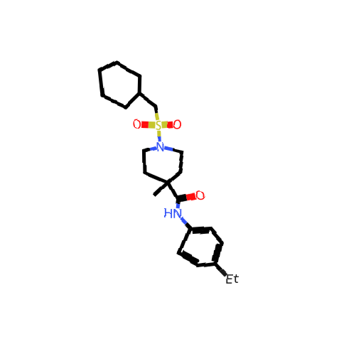 CCc1ccc(NC(=O)C2(C)CCN(S(=O)(=O)CC3CCCCC3)CC2)cc1